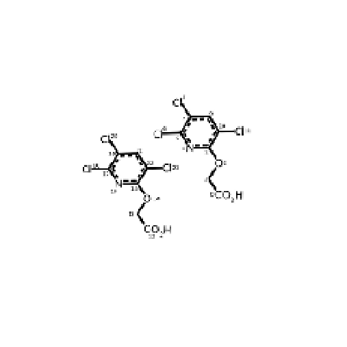 O=C(O)COc1nc(Cl)c(Cl)cc1Cl.O=C(O)COc1nc(Cl)c(Cl)cc1Cl